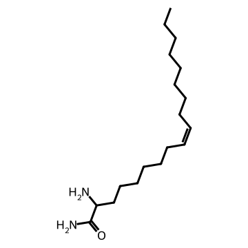 CCCCCCCC/C=C\CCCCCCC(N)C(N)=O